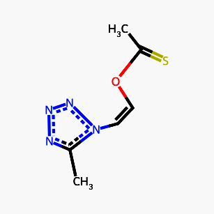 CC(=S)O/C=C\n1nnnc1C